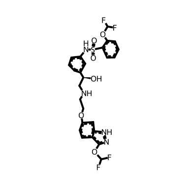 O=S(=O)(Nc1cccc([C@@H](O)CNCCOc2ccc3c(OC(F)F)n[nH]c3c2)c1)c1ccccc1OC(F)F